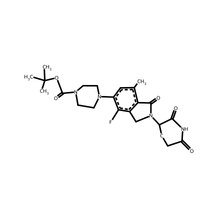 Cc1cc(N2CCN(C(=O)OC(C)(C)C)CC2)c(F)c2c1C(=O)N(C1CCC(=O)NC1=O)C2